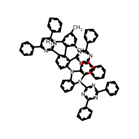 Cc1cc(C)c(-c2c(-c3nc(-c4ccccc4)cc(-c4ccccc4)n3)ccc(N3c4ccccc4N(c4nc(-c5ccccc5)nc(-c5ccccc5)n4)c4ccccc43)c2-c2nc(-c3ccccc3)nc(-c3ccccc3)n2)c(C)c1